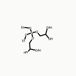 CCCC(CO[Si](OCC)(OCC)OCC(CCC)OC(C)=O)OC(C)=O